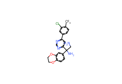 NCC(N)(c1ccc2c(c1)OCCO2)c1cc(-c2ccc(C(F)(F)F)c(Cl)c2)ncn1